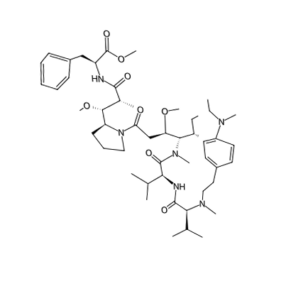 CC[C@H](C)[C@@H]([C@@H](CC(=O)N1CCC[C@H]1[C@H](OC)[C@@H](C)C(=O)N[C@@H](Cc1ccccc1)C(=O)OC)OC)N(C)C(=O)[C@@H](NC(=O)[C@H](C(C)C)N(C)CCc1ccc(N(C)CC)cc1)C(C)C